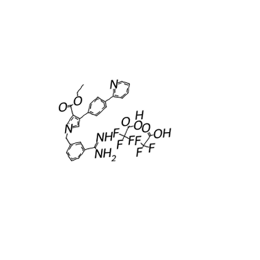 CCOC(=O)c1cn(Cc2cccc(C(=N)N)c2)cc1-c1ccc(-c2ccccn2)cc1.O=C(O)C(F)(F)F.O=C(O)C(F)(F)F